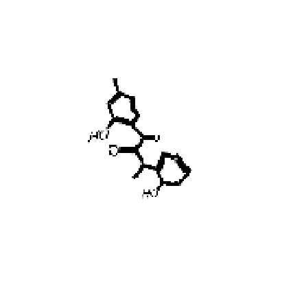 Cc1ccc(C(=O)C(=O)C(C)c2ccccc2O)c(O)c1